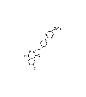 COc1ccc(N2CCN(CCn3c(=S)[nH]c4ccc(Cl)cc4c3=O)CC2)cc1